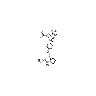 COC(=O)C1(NS(=O)(=O)c2ccc(OCC3=CC(C)N(C(C)C)c4ccccc43)cc2)CN(C(=O)C(C)C)C1